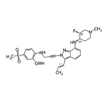 C/C=C/c1c2cccc(N[C@@H]3CCN(C)C[C@@H]3F)c2nn1C#CCNc1ccc(S(C)(=O)=O)cc1OC